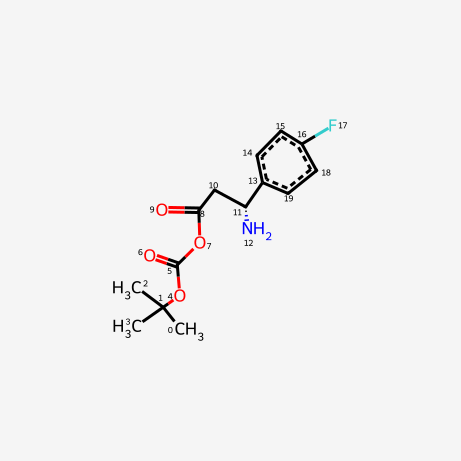 CC(C)(C)OC(=O)OC(=O)C[C@@H](N)c1ccc(F)cc1